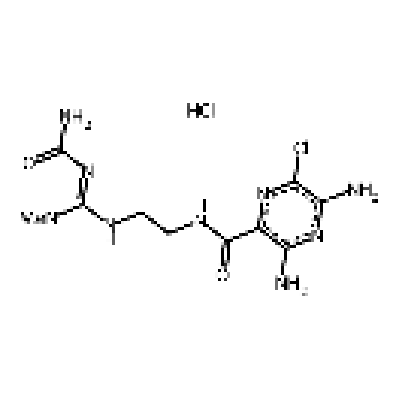 CNC(=NC(N)=O)NCCNC(=O)c1nc(Cl)c(N)nc1N.Cl